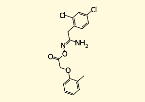 Cc1ccccc1OCC(=O)O/N=C(\N)Cc1ccc(Cl)cc1Cl